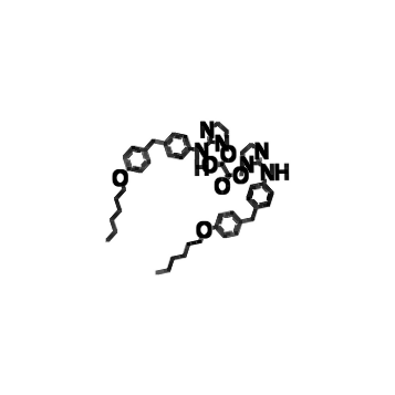 CCCCCCOc1ccc(Cc2ccc(NC3=NCCN3OC(=O)C(=O)ON3CCN=C3Nc3ccc(Cc4ccc(OCCCCCC)cc4)cc3)cc2)cc1